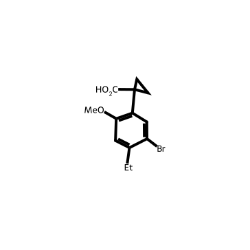 CCc1cc(OC)c(C2(C(=O)O)CC2)cc1Br